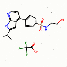 CC(C)c1cc2c(-c3ccc(S(=O)(=O)NCCO)cc3)ccnc2[nH]1.O=C(O)C(F)(F)F